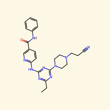 CCc1nc(Nc2ccc(C(=O)Nc3ccccc3)cn2)nc(N2CCN(CCC#N)CC2)n1